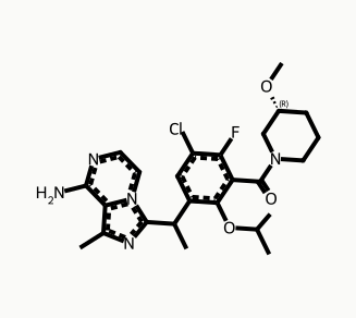 CO[C@@H]1CCCN(C(=O)c2c(F)c(Cl)cc(C(C)c3nc(C)c4c(N)nccn34)c2OC(C)C)C1